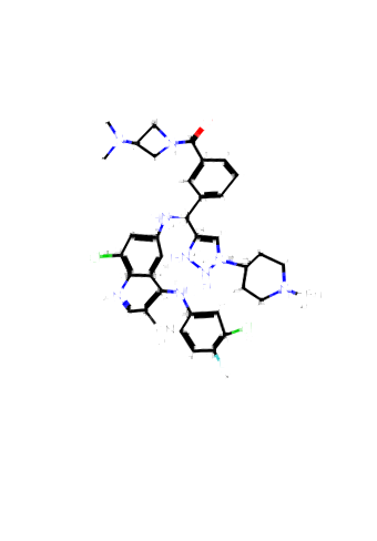 CN(C)C1CN(C(=O)c2cccc([C@H](Nc3cc(Cl)c4ncc(C#N)c(Nc5ccc(F)c(Cl)c5)c4c3)C3=CN(C4CCN(C(C)(C)C)CC4)NN3)c2)C1